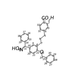 O=C(O)c1ccc(CCCc2cc(C(=NO)c3ccccc3)ccc2OCc2ccccc2)cc1